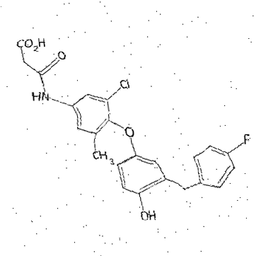 Cc1cc(NC(=O)CC(=O)O)cc(Cl)c1Oc1ccc(O)c(Cc2ccc(F)cc2)c1